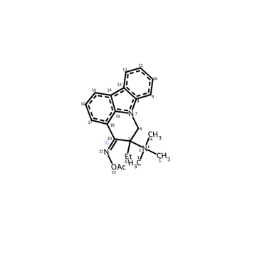 CCC1([N+](C)(C)C)Cn2c3ccccc3c3cccc(c32)/C1=N/OC(C)=O